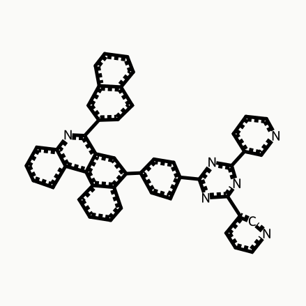 c1cncc(-c2nc(-c3ccc(-c4cc5c(-c6ccc7ccccc7c6)nc6ccccc6c5c5ccccc45)cc3)nc(-c3cccnc3)n2)c1